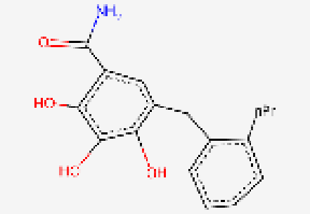 CCCc1ccccc1Cc1cc(C(N)=O)c(O)c(O)c1O